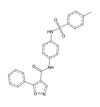 Cc1ccc(S(=O)(=O)Nc2ccc(NC(=O)c3cnoc3-c3ccccc3)cc2)cc1